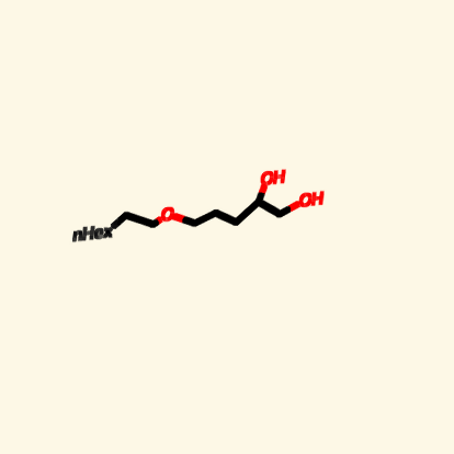 CCCCCCCCOCCCC(O)CO